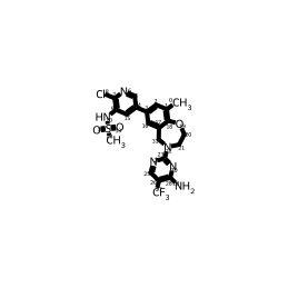 Cc1cc(-c2cnc(Cl)c(NS(C)(=O)=O)c2)cc2c1OCCN(c1ncc(C(F)(F)F)c(N)n1)C2